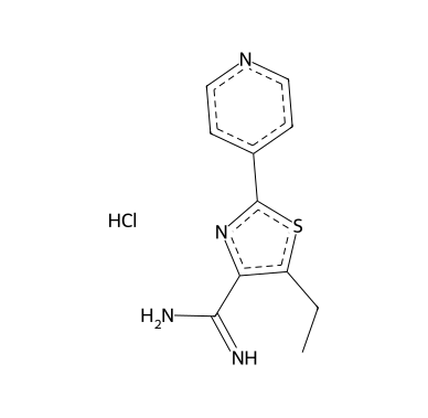 CCc1sc(-c2ccncc2)nc1C(=N)N.Cl